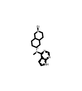 CCN1CCC2C[C@H](N(C)c3ncnc4[nH]ccc34)CCC2C1